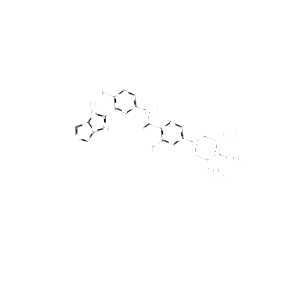 C[C@@H]1CN(c2ccc(C(=O)Nc3ccc(Cl)c(-c4nc5cscc5[nH]4)c3)c(Cl)c2)C[C@H](C)N1C